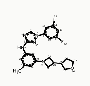 Cc1cc(Nc2ncn(-c3cc(F)cc(F)c3)n2)cc(N2CC(C3CCOC3)C2)c1